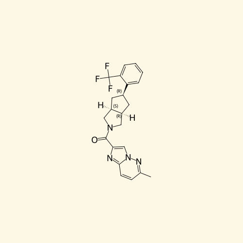 Cc1ccc2nc(C(=O)N3C[C@H]4C[C@@H](c5ccccc5C(F)(F)F)C[C@H]4C3)cn2n1